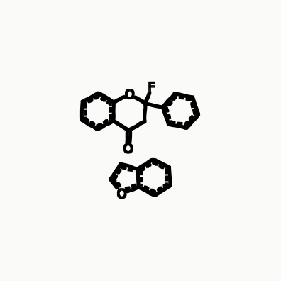 O=C1CC(F)(c2ccccc2)Oc2ccccc21.c1ccc2occc2c1